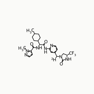 [2H]C(c1ccnc(NC(=O)[C@@H](NC(=O)c2ccnn2C)C2CCC(C)CC2)c1)N1C[C@@H](C(F)(F)F)NC1=O